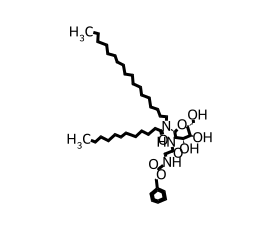 CCCCCCCCCCCCCCCCCCN(C(=O)CCCCCCCCCCC)[C@@H]1O[C@H](CO)[C@H](O)[C@H](O)[C@H]1NC(=O)CNC(=O)OCc1ccccc1